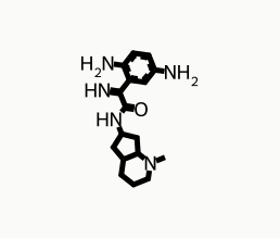 CN1CCCC2CC(NC(=O)C(=N)c3cc(N)ccc3N)CC21